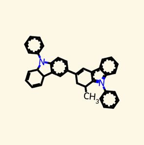 CC1CC(c2ccc3c(c2)C2C=CC=CC2N3c2ccccc2)=Cc2c1n(-c1ccccc1)c1ccccc21